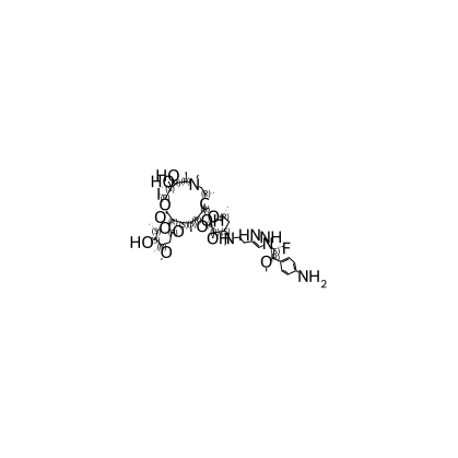 CO[C@H](c1ccc(N)cc1)[C@@H](CF)N1C=C(CCN(C)[C@H]2C[C@@H](C)O[C@@H](O[C@@H]3[C@@H](C)[C@H](O[C@H]4C[C@@](C)(OC)[C@@H](O)[C@H](C)O4)[C@@H](C)C(=O)O[C@H](I)[C@@](C)(O)[C@H](O)[C@@H](C)N(C)C[C@H](C)C[C@@]3(C)O)[C@@H]2O)NN1